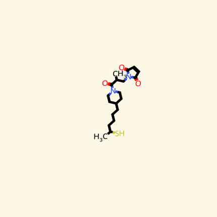 CC(S)CCCCC1CCN(C(=O)C(C)CN2C(=O)C=CC2=O)CC1